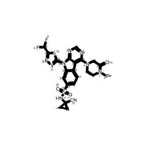 CC(C)N1CCN(c2ncnc3c2c2ccc(S(=O)(=O)NC4(C#N)CC4)cc2n3-c2nnc(C(F)F)s2)CC1=O